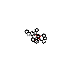 C1=Cc2sc3cccc(-c4ccc5c(c4)oc4cccc(C6NC(c7ccccc7)=NC(c7ccccc7)N6)c45)c3c2C(n2c3ccccc3c3ccccc32)C1